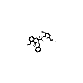 C[C@H](Nc1nc(N)ncc1C#N)c1cc2cccc(CI)c2c(=O)n1Cc1ccccc1